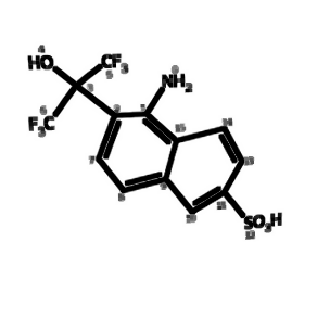 Nc1c(C(O)(C(F)(F)F)C(F)(F)F)ccc2cc(S(=O)(=O)O)ccc12